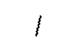 CC=CCC=CCCCCC=CCC